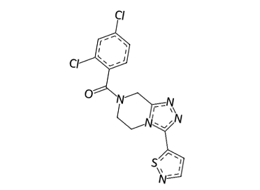 O=C(c1ccc(Cl)cc1Cl)N1CCn2c(nnc2-c2ccns2)C1